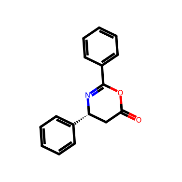 O=C1C[C@H](c2ccccc2)N=C(c2ccccc2)O1